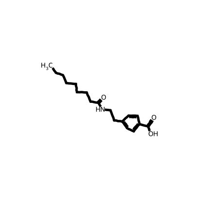 CCCCCCCCC(=O)NCCc1ccc(C(=O)O)cc1